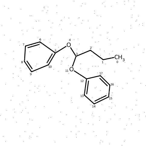 CCCC(Oc1[c]cccc1)Oc1ccccc1